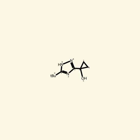 CC(C)(C)c1nc(C2(O)CC2)n[nH]1